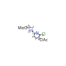 COC1(C)CN(c2ccc(OC(C)=O)c(Cl)n2)C1